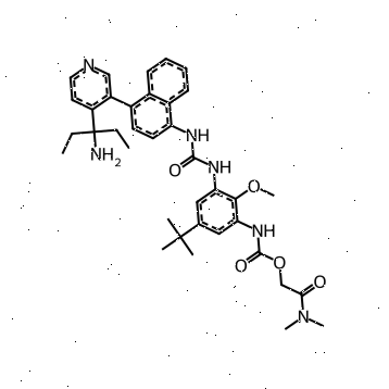 CCC(N)(CC)c1ccncc1-c1ccc(NC(=O)Nc2cc(C(C)(C)C)cc(NC(=O)OCC(=O)N(C)C)c2OC)c2ccccc12